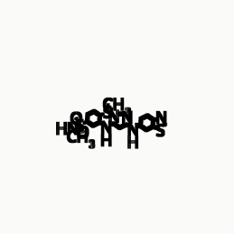 CNS(=O)(=O)c1ccc(SC)c(Nc2cc(Nc3ccc4ncsc4c3)ncn2)c1